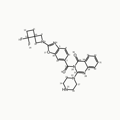 O=C(c1ccc2nc(N3CC4(CCC4(F)F)C3)oc2c1)n1c(N2CCNCC2)nc2ccccc2c1=O